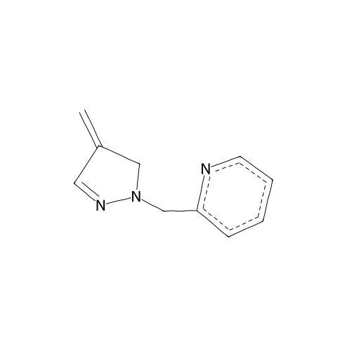 C=C1C=NN(Cc2ccccn2)C1